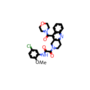 COc1ccc(Cl)cc1NC(=O)C(=O)N1CCc2nc3ccccc3c(C(=O)N3CCOCC3)c2C1